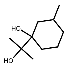 CC1CCCC(O)(C(C)(C)O)C1